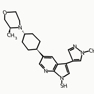 C[C@H]1COCCN1[C@H]1CC[C@H](c2cnc3c(c2)c(-c2cnn(C)c2)cn3S)CC1